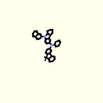 CC1(C)c2ccccc2-c2cc(N(c3ccccc3)c3ccc4c(c3)c3ccccc3n4-c3ccc4ccccc4c3)ccc21